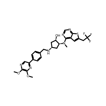 COc1ncc(-c2ccc(CN[C@H]3C[C@@H](O)[C@@H](N(C)c4ncnc5sc(CC(F)(F)F)cc45)C3)cc2)nc1OC